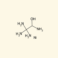 NC(O)C(N)(N)N.[Ni]